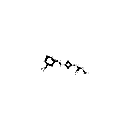 CC(C)(C)OC(=O)N[C@H]1C[C@H](CSc2cccc(C(F)(F)F)c2)C1